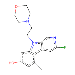 Cc1cc(O)cc2c1c1cc(F)ncc1n2CCN1CCOCC1